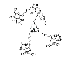 CCCn1cc(CN(Cc2cn(CCOCCO[C@@H]3O[C@H](CO)[C@H](O)[C@H](O)[C@H]3NC(C)=O)nn2)[C@@H](CCCCN(Cc2cn(CCOCCO[C@@H]3O[C@H](CO)[C@H](O)[C@H](O)[C@H]3NC(C)=O)nn2)Cc2cn(CCOCCO[C@@H]3O[C@H](CO)[C@H](O)[C@H](O)[C@H]3NC(C)=O)nn2)C(=O)O)nn1